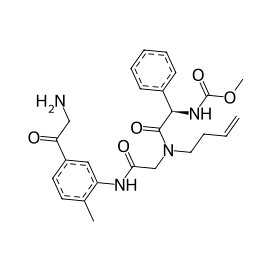 C=CCCN(CC(=O)Nc1cc(C(=O)CN)ccc1C)C(=O)[C@H](NC(=O)OC)c1ccccc1